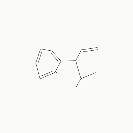 C=CC(c1[c]cccc1)C(C)C